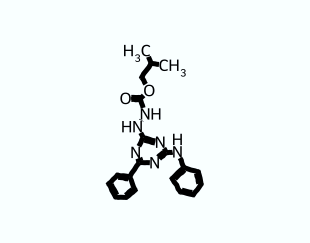 CC(C)COC(=O)NNc1nc(Nc2ccccc2)nc(-c2ccccc2)n1